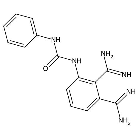 N=C(N)c1cccc(NC(=O)Nc2ccccc2)c1C(=N)N